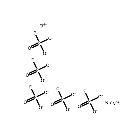 O=P([O-])([O-])F.O=P([O-])([O-])F.O=P([O-])([O-])F.O=P([O-])([O-])F.O=P([O-])([O-])F.[Na+].[Ti+4].[V+5]